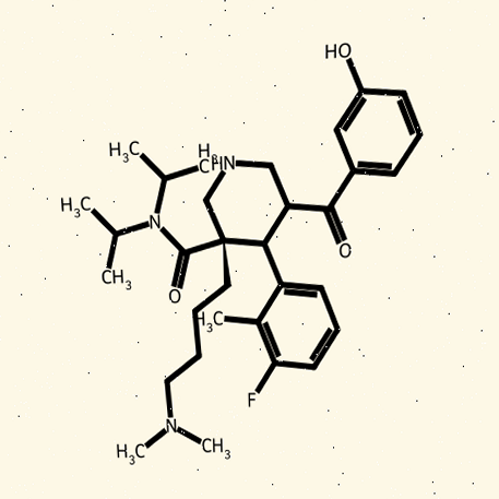 Cc1c(F)cccc1C1C(C(=O)c2cccc(O)c2)CNC[C@@]1(CCCCN(C)C)C(=O)N(C(C)C)C(C)C